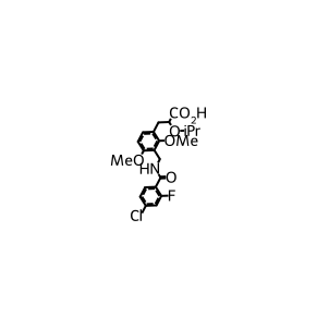 COc1ccc(CC(OC(C)C)C(=O)O)c(OC)c1CNC(=O)c1ccc(Cl)cc1F